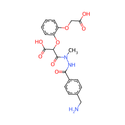 CN(NC(=O)c1ccc(CN)cc1)C(=O)C(Oc1ccccc1OCC(=O)O)C(=O)O